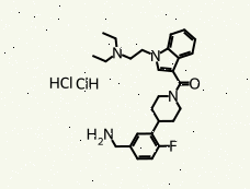 CCN(CC)CCn1cc(C(=O)N2CCC(c3cc(CN)ccc3F)CC2)c2ccccc21.Cl.Cl